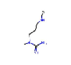 CCNCCCN(C)C(=N)N